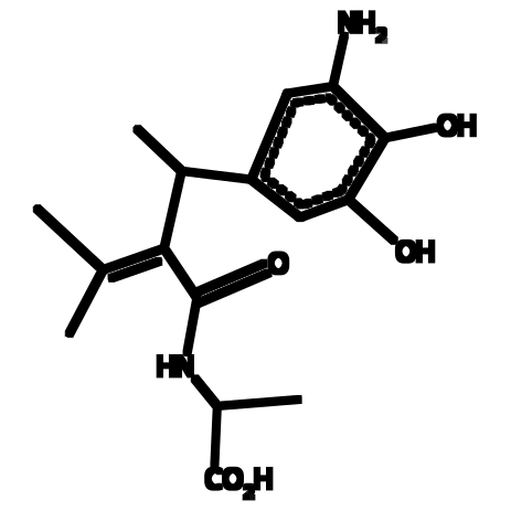 CC(C)=C(C(=O)NC(C)C(=O)O)C(C)c1cc(N)c(O)c(O)c1